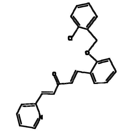 O=C(C=Cc1ccccn1)C=Cc1ccccc1OCc1ccccc1Cl